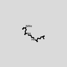 C=CC(CCC(=C)NCCCCNC(=C)CCCC(=C)C)NC